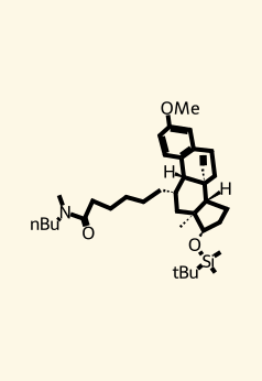 C=C[C@@]12CCc3cc(OC)ccc3[C@H]1[C@@H](CCCCCC(=O)N(C)CCCC)C[C@]1(C)[C@@H](O[Si](C)(C)C(C)(C)C)CC[C@H]12